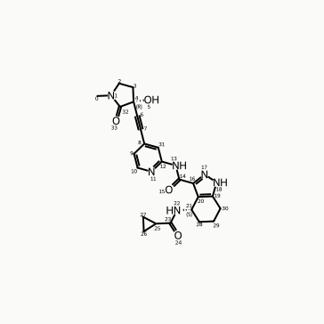 CN1CC[C@@](O)(C#Cc2ccnc(NC(=O)c3n[nH]c4c3[C@@H](NC(=O)C3CC3)CCC4)c2)C1=O